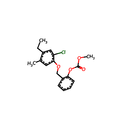 CCc1cc(Cl)c(OCc2ccccc2OC(=O)OC)cc1C